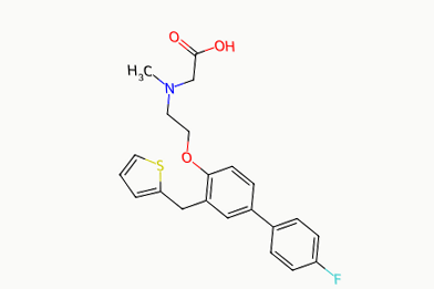 CN(CCOc1ccc(-c2ccc(F)cc2)cc1Cc1cccs1)CC(=O)O